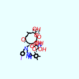 CC[C@H]1OC(=O)C[C@@H](O)[C@H](C)[C@@H](O[C@@H]2O[C@H](C)[C@@H](O)C(N(C)C)C2O)[C@@H](CCN(CCn2cc(-c3cc(C)c(C)cc3C)nn2)Cc2ccc(I)cc2)C[C@@H](C)C(=O)/C=C/C(C)=C/[C@@H]1CO